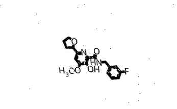 COc1cc(C2CCCO2)nc(C(=O)NCc2cccc(F)c2)c1O